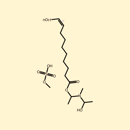 CCCCCCCC/C=C\CCCCCCCC(=O)OC(C)N(C)C(C)O.COS(=O)(=O)O